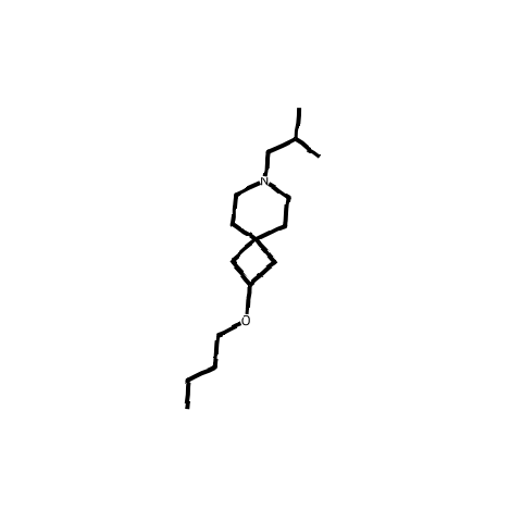 CCCCOC1CC2(CCN(CC(C)C)CC2)C1